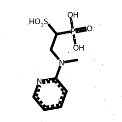 CN(CC(P(=O)(O)O)S(=O)(=O)O)c1ccccn1